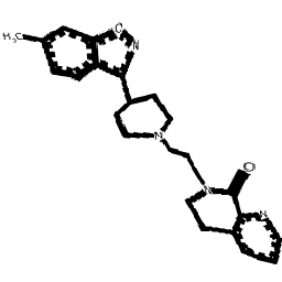 Cc1ccc2c(C3CCN(CCN4CCc5cccnc5C4=O)CC3)noc2c1